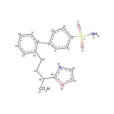 NS(=O)(=O)c1ccc(-c2ccccc2CCC(C(=O)O)c2ncco2)cc1